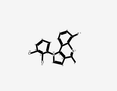 Cc1nc2c(F)cccc2c2c1ccn2-c1cccc(Cl)c1Cl